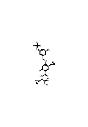 O=C(N[C@H](C(=O)O)C1CC1)c1cc(C2CC2)c(OCc2cc(Cl)cc(OC(F)(F)F)c2)cc1F